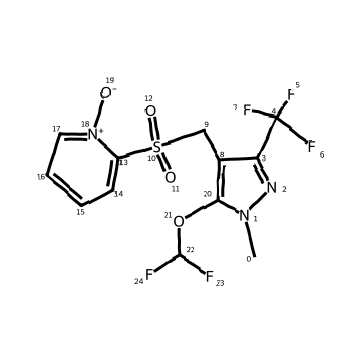 Cn1nc(C(F)(F)F)c(CS(=O)(=O)c2cccc[n+]2[O-])c1OC(F)F